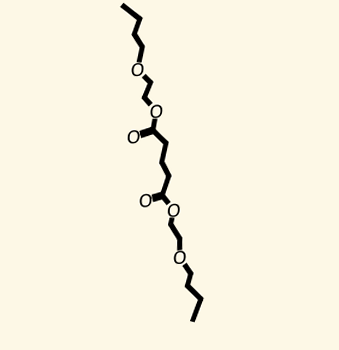 CCCCOCCOC(=O)CCCC(=O)OCCOCCCC